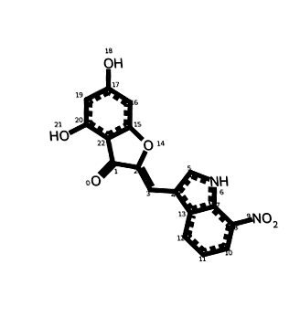 O=C1C(=Cc2c[nH]c3c([N+](=O)[O-])cccc23)Oc2cc(O)cc(O)c21